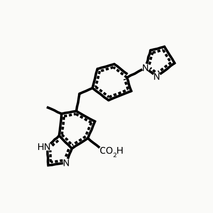 Cc1c(Cc2ccc(-n3cccn3)cc2)cc(C(=O)O)c2nc[nH]c12